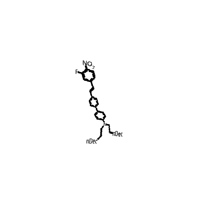 CCCCCCCCCCCCN(CCCCCCCCCCCC)c1ccc(-c2ccc(C=Cc3ccc([N+](=O)[O-])c(F)c3)cc2)cc1